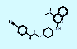 CN(C)c1cc(N[C@H]2CC[C@@H](CNC(=O)c3ccc(C#N)cc3)CC2)nc2ccccc12